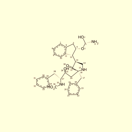 N[C@@H](O)O[C@H]1Cc2ccccc2[C@H]1[C@H]1CN[C@@](Cc2ccccc2)(C[C@H](O)[C@@H](Cc2ccccc2)NC(=O)O)C1=O